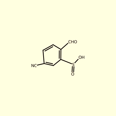 N#Cc1ccc(C=O)c(S(=O)O)c1